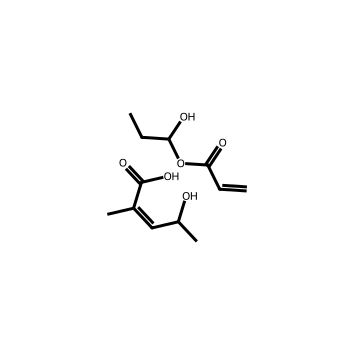 C=CC(=O)OC(O)CC.CC(=CC(C)O)C(=O)O